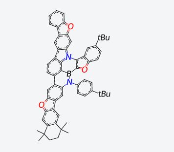 CC(C)(C)c1ccc(N2B3c4oc5ccc(C(C)(C)C)cc5c4-n4c5cc6oc7ccccc7c6cc5c5ccc(c3c54)-c3cc4oc5cc6c(cc5c4cc32)C(C)(C)CCC6(C)C)cc1